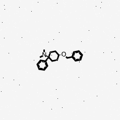 CN(C)[C@]1(c2ccccc2)CC[C@@H](OCc2ccccc2)CC1